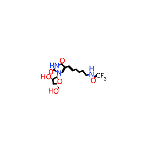 O=C(NCCCCC=Cc1cn([C@@H]2O[C@H](CO)C[C@H]2O)c(=O)[nH]c1=O)C(F)(F)F